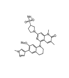 COc1cc2c(cc1-c1cnn(C)c1)CCCN2c1nc(N2CCC(S(N)(=O)=O)C2)cc2c1cc(C)c(=O)n2C